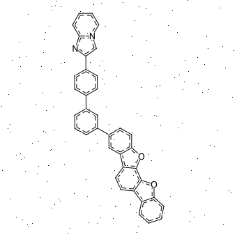 c1cc(-c2ccc(-c3cn4ccccc4n3)cc2)cc(-c2ccc3oc4c(ccc5c6ccccc6oc54)c3c2)c1